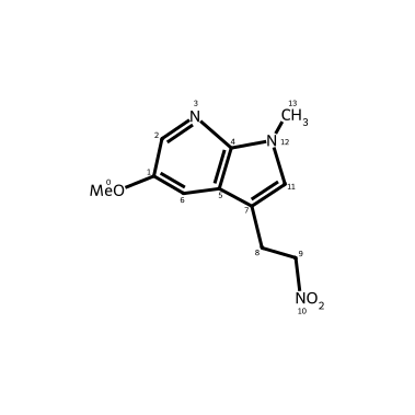 COc1cnc2c(c1)c(CC[N+](=O)[O-])cn2C